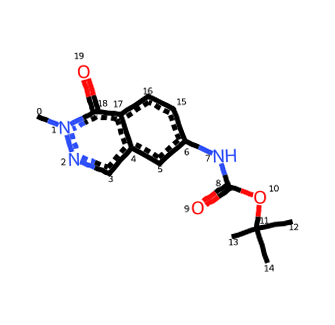 Cn1ncc2cc(NC(=O)OC(C)(C)C)ccc2c1=O